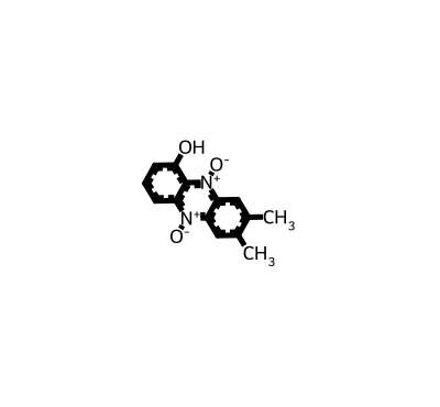 Cc1cc2c(cc1C)[n+]([O-])c1c(O)cccc1[n+]2[O-]